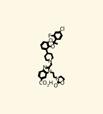 CC1(c2ccc(Cl)cc2F)Oc2cccc(C3CCN(Cc4nc5ccc(C(=O)O)cc5n4CCN4CCOC4=O)CC3)c2O1